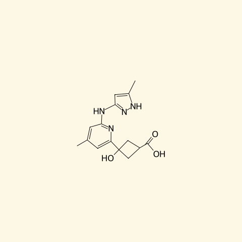 Cc1cc(Nc2cc(C)[nH]n2)nc(C2(O)CC(C(=O)O)C2)c1